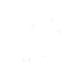 CC(C)C(=O)OC(C)(C)C.[LiH]